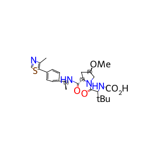 CO[C@@H]1C[C@@H](C(=O)N[C@@H](C)c2ccc(-c3scnc3C)cc2)N(C(=O)C(NC(=O)O)C(C)(C)C)C1